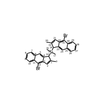 CC1=Cc2c(cc3ccccc3c2Br)C1[Si](C)(C)C1C(C)=Cc2c1cc1ccccc1c2Br